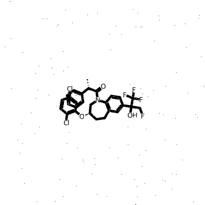 C[C@H](C(=O)N1C[C@@H](Oc2cc(Cl)ccc2Cl)CCc2cc(C(O)(CF)C(F)(F)F)ccc21)c1ccccc1